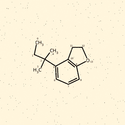 CCC(C)(C)c1cccc2c1CCO2